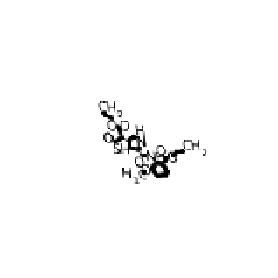 C=CCOC(=O)c1cccc(OC)c1NC(=O)[C@@H]1C[C@@H](C(C(=O)S)C(=O)OCC=C)CN1